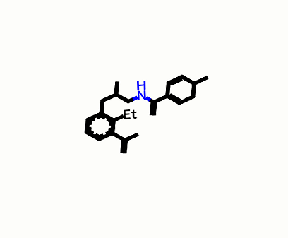 C=C(NCC(C)Cc1cccc(C(=C)C)c1CC)C1=CCC(C)C=C1